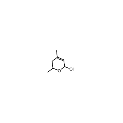 CC1=CC(O)OC(C)C1